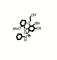 COc1ccccc1Oc1c(S(=O)(=O)Nc2ccccc2)cc(C#N)c(C(C)(C)C)c1OCCO